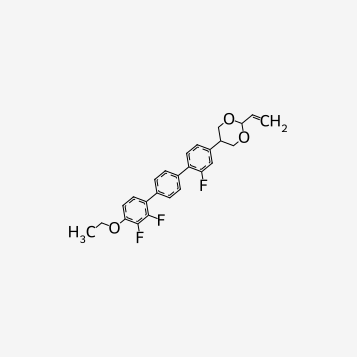 C=CC1OCC(c2ccc(-c3ccc(-c4ccc(OCC)c(F)c4F)cc3)c(F)c2)CO1